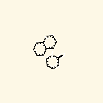 O=c1cccc[nH]1.c1ccc2ncccc2c1